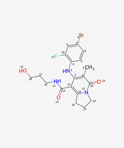 Cc1c(Nc2ccc(Br)cc2F)c(C(=O)NCCCO)c2n(c1=O)CCC2